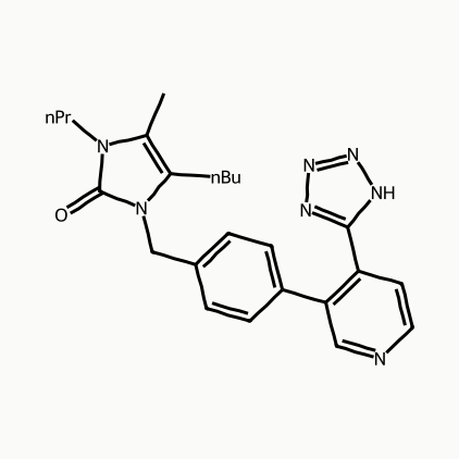 CCCCc1c(C)n(CCC)c(=O)n1Cc1ccc(-c2cnccc2-c2nnn[nH]2)cc1